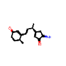 CC1CCC(=O)C=C1CCC(C)C1CC(=N)C(=O)C1